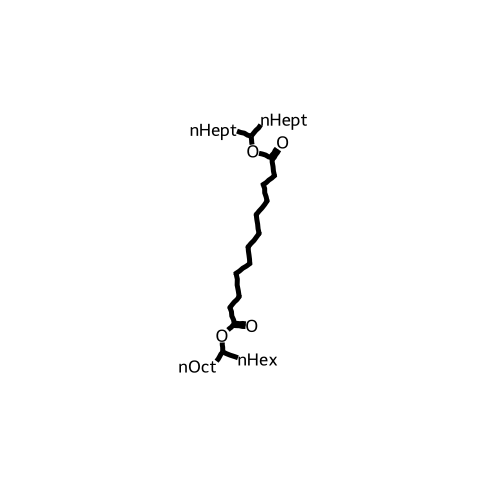 CCCCCCCCC(CCCCCC)OC(=O)CCCCCCCCCCC(=O)OC(CCCCCCC)CCCCCCC